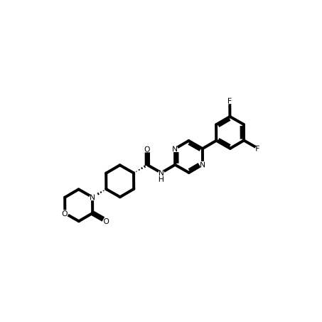 O=C1COCCN1[C@H]1CC[C@@H](C(=O)Nc2cnc(-c3cc(F)cc(F)c3)cn2)CC1